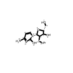 CCCSC1C(O)[C@@H](CO)O[C@H]1N1C=CC(N)=NC1O